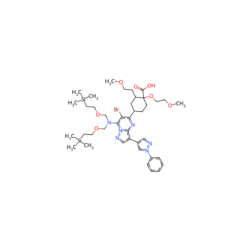 COCCOC1(C(=O)O)CCC(c2nc3c(-c4cnn(-c5ccccc5)c4)cnn3c(N(COCC[Si](C)(C)C)COCC[Si](C)(C)C)c2Br)CC1CCOC